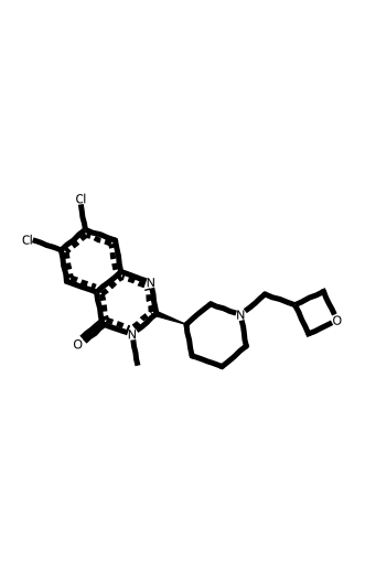 Cn1c([C@@H]2CCCN(CC3COC3)C2)nc2cc(Cl)c(Cl)cc2c1=O